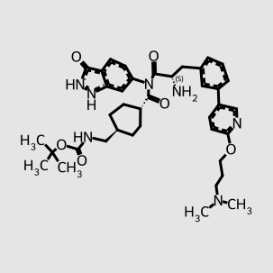 CN(C)CCCOc1ccc(-c2cccc(C[C@H](N)C(=O)N(c3ccc4c(=O)[nH][nH]c4c3)C(=O)[C@H]3CC[C@H](CNC(=O)OC(C)(C)C)CC3)c2)cn1